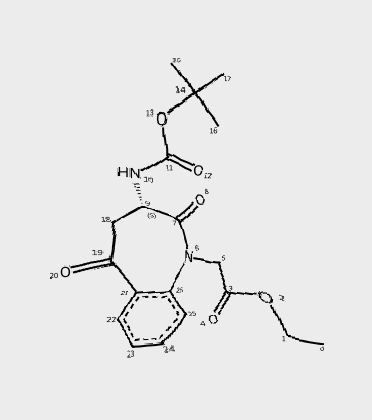 CCOC(=O)CN1C(=O)[C@@H](NC(=O)OC(C)(C)C)CC(=O)c2ccccc21